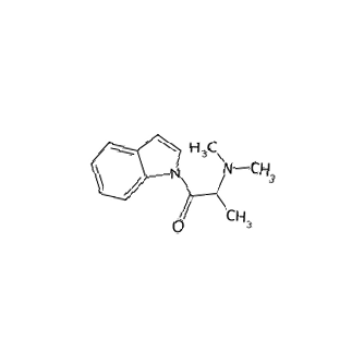 CC(C(=O)n1ccc2ccccc21)N(C)C